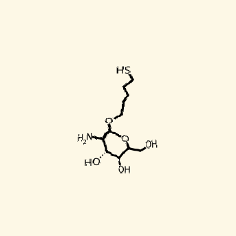 NC1C(OCCCCCS)OC(CO)[C@@H](O)[C@@H]1O